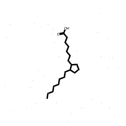 CCCCCCCCC1CC[CH]C1CCCCCCC(=O)O